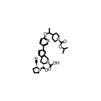 CC(C)OC(=O)N1CCC(C(C)Oc2ccc(-c3ccc4c(c3)CN(C(=O)O)[C@H](C(=O)N3CCC[C@H]3C#N)C4)cn2)CC1